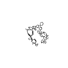 COc1ccc(Oc2ccc(OC(=O)Oc3ccc(C4(c5ccc(OC(=O)Oc6cc(OC(C)=O)cc(OC(C)=O)c6)cc5)CCCCC4)cc3)c(C)c2)cc1C